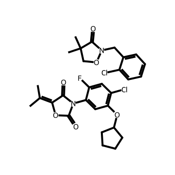 CC(C)=C1OC(=O)N(c2cc(OC3CCCC3)c(Cl)cc2F)C1=O.CC1(C)CON(Cc2ccccc2Cl)C1=O